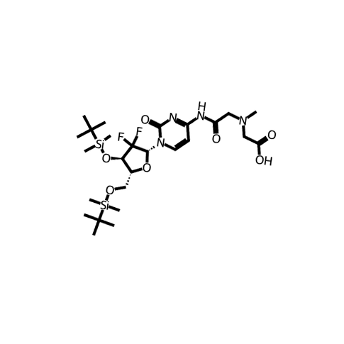 CN(CC(=O)O)CC(=O)Nc1ccn([C@@H]2O[C@H](CO[Si](C)(C)C(C)(C)C)[C@@H](O[Si](C)(C)C(C)(C)C)C2(F)F)c(=O)n1